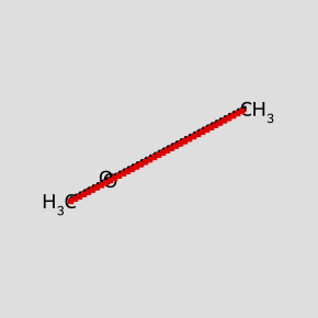 CCCCCCCCC=CCCCCCCCC(=O)OCCCCCCCCCCCCCCCCCCCCCCCCCCCCCCCCCCCCCCCCCCCCCCCCCCCCCCCCCCCCCC